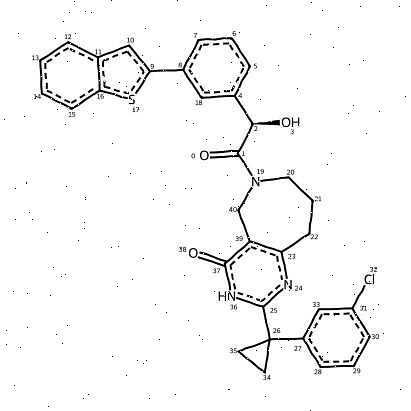 O=C([C@H](O)c1cccc(-c2cc3ccccc3s2)c1)N1CCCc2nc(C3(c4cccc(Cl)c4)CC3)[nH]c(=O)c2C1